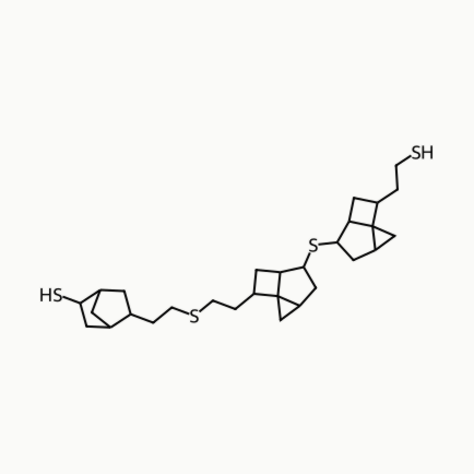 SCCC1CC2C(SC3CC4CC45C(CCSCCC4CC6CC4CC6S)CC35)CC3CC132